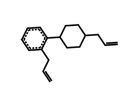 C=CCc1c[c]ccc1C1CCC(CC=C)CC1